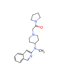 CN(c1cc2ccccc2cn1)C1CCN(CC(=O)N2CCCC2)CC1